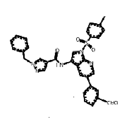 Cc1ccc(S(=O)(=O)n2cc(NC(=O)c3cnn(Cc4ccccc4)c3)c3cc(-c4cccc(C=O)c4)cnc32)cc1